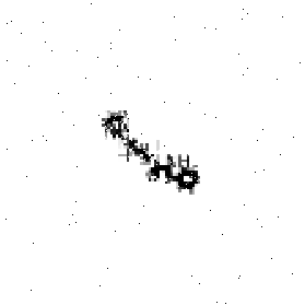 N[C@@H](Cc1ccccc1)C(=O)NCCCCNc1ncccn1